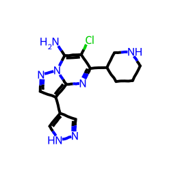 Nc1c(Cl)c(C2CCCNC2)nc2c(-c3cn[nH]c3)cnn12